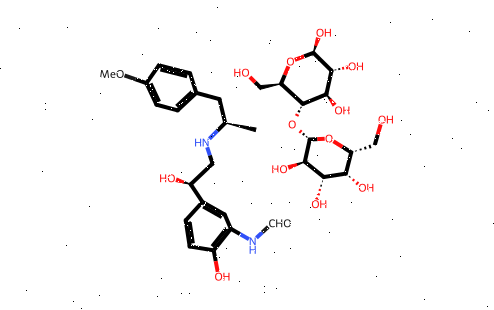 COc1ccc(C[C@@H](C)NC[C@H](O)c2ccc(O)c(NC=O)c2)cc1.OC[C@H]1O[C@@H](O[C@H]2[C@H](O)[C@@H](O)[C@H](O)O[C@@H]2CO)[C@H](O)[C@@H](O)[C@H]1O